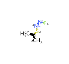 C=C(C)S/N=N\F